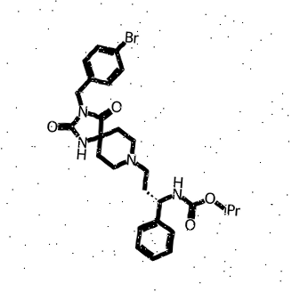 CC(C)OC(=O)N[C@@H](CCN1CCC2(CC1)NC(=O)N(Cc1ccc(Br)cc1)C2=O)c1ccccc1